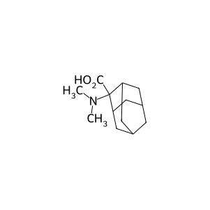 CN(C)C1(C(=O)O)C2CC3CC(C2)CC1C3